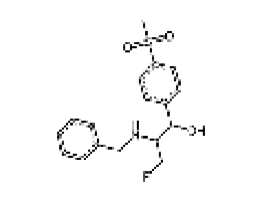 CS(=O)(=O)c1ccc(C(O)C(CF)NCc2ccccc2)cc1